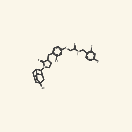 O=C(COc1ccc(CC2CCN(C3C4CC5CC3CC(O)(C5)C4)C2=O)c(Cl)c1)NCc1ccc(F)cc1F